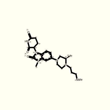 CNCCCN1CCN(c2ccc3c(c2)n(C)c(=O)n3C2CCC(=O)NC2=O)C[C@H]1C(C)C